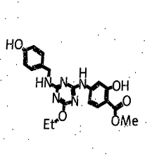 CCOc1nc(NCc2ccc(O)cc2)nc(Nc2ccc(C(=O)OC)c(O)c2)n1